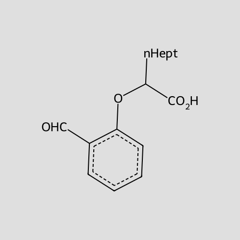 CCCCCCCC(Oc1ccccc1C=O)C(=O)O